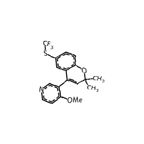 COc1ccncc1C1=CC(C)(C)Oc2ccc(SC(F)(F)F)cc21